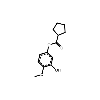 COc1ccc(OC(=O)C2CCCC2)cc1O